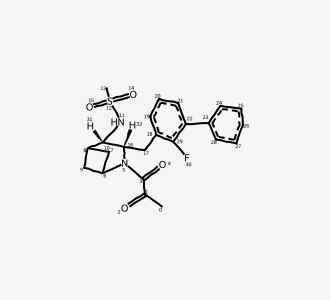 CC(=O)C(=O)N1C2CC(C2)[C@H](NS(C)(=O)=O)[C@@H]1Cc1cccc(-c2ccccc2)c1F